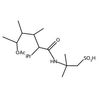 CC(=O)OC(C)C(C)C(C)C(C(=O)NC(C)(C)CS(=O)(=O)O)C(C)C